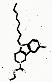 CCCCCCCCn1c2c(c3cc(F)ccc31)CN(C(=O)OCC)CC2